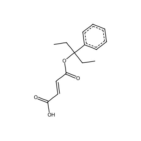 CCC(CC)(OC(=O)C=CC(=O)O)c1ccccc1